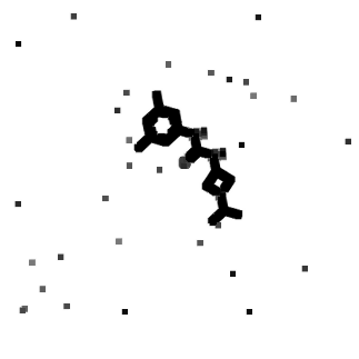 Cc1cc(C)cc(NC(=O)NC2CN(C(C)C)C2)c1